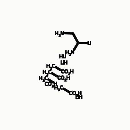 CC(=O)O.CC(=O)O.CC(=O)O.CC(=O)O.[LiH].[LiH].[LiH].[Li][CH](N)CN